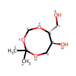 CC1(C)OCO[C@H](CO)[C@@H](O)CO1